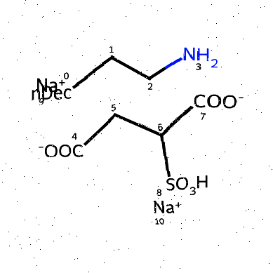 CCCCCCCCCCCCN.O=C([O-])CC(C(=O)[O-])S(=O)(=O)O.[Na+].[Na+]